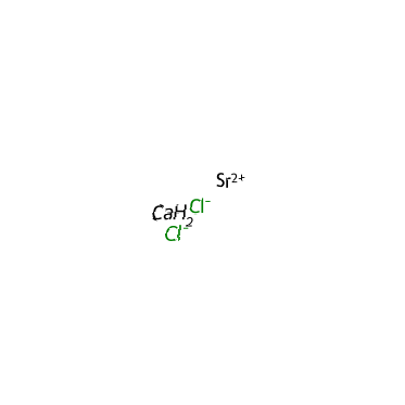 [CaH2].[Cl-].[Cl-].[Sr+2]